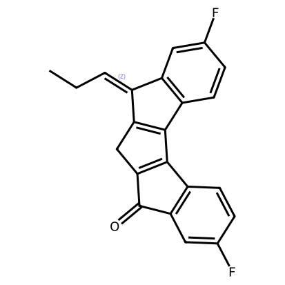 CC/C=C1\C2=C(C3=C(C2)C(=O)c2cc(F)ccc23)c2ccc(F)cc21